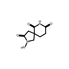 CCCN1CC2(CCC(=O)NC2=O)CC1=O